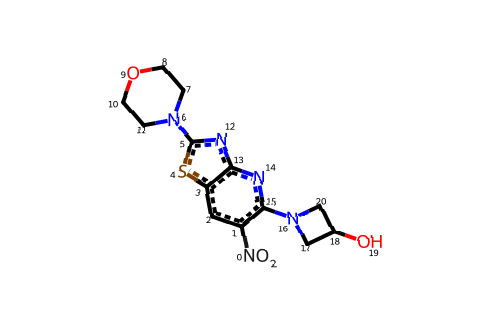 O=[N+]([O-])c1cc2sc(N3CCOCC3)nc2nc1N1CC(O)C1